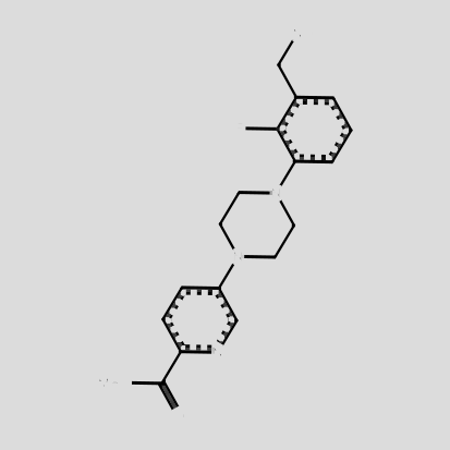 COC(=O)c1ccc(N2CCN(c3cccc(CN=O)c3F)CC2)cn1